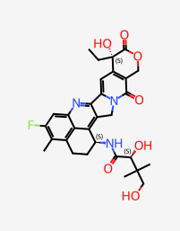 CC[C@@]1(O)C(=O)OCc2c1cc1n(c2=O)Cc2c-1nc1cc(F)c(C)c3c1c2[C@@H](NC(=O)[C@@H](O)C(C)(C)CO)CC3